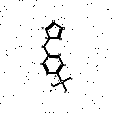 C[Si](C)(C)c1ccc(C[C]2C=CC=C2)cc1